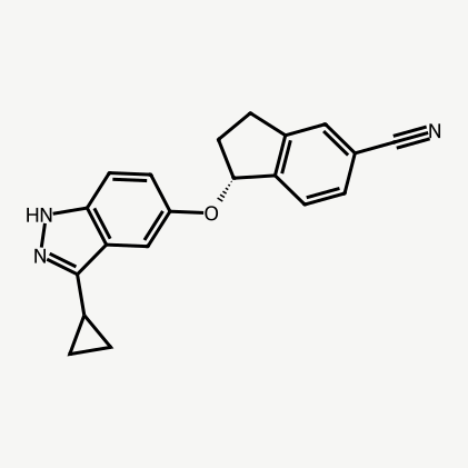 N#Cc1ccc2c(c1)CC[C@H]2Oc1ccc2[nH]nc(C3CC3)c2c1